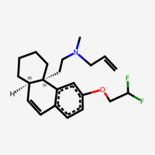 C=CCN(C)CC[C@@]12CCCC[C@@H]1C=Cc1ccc(OCC(F)F)cc12